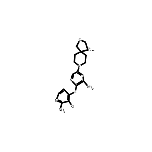 C[C@H]1COCC12CCN(c1cnc(Sc3ccnc(N)c3Cl)c(N)n1)CC2